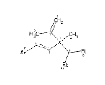 C=C(C)C(C)(C=CC(C)=O)C(CC)CC